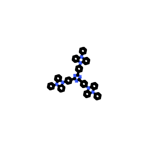 C1=CC2C(C=C1)N(c1ccc(-c3nc(-c4ccc(N5c6ccccc6N(c6ccccc6)c6ccccc65)cc4)nc(-c4ccc(N5c6ccccc6N(c6ccccc6)c6ccccc65)cc4)n3)cc1)c1ccccc1N2c1ccccc1